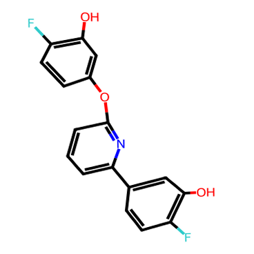 Oc1cc(Oc2cccc(-c3ccc(F)c(O)c3)n2)ccc1F